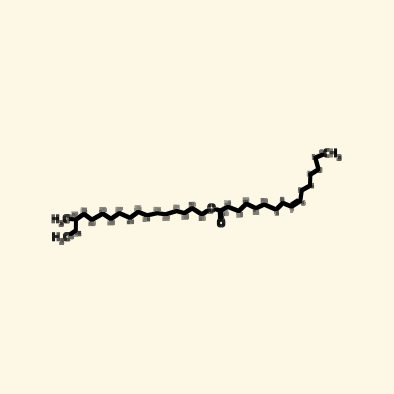 CCCCCC/C=C\CCCCCCCC(=O)OCCCCCCCCCCCCCCC(C)CC